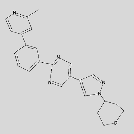 Cc1cc(-c2cccc(-c3ncc(-c4cnn(C5CCOCC5)c4)cn3)c2)ccn1